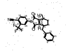 CC12CCC(Cc3ccccc3)(O1)[C@H]1C(=O)N(c3ccc(C#N)c(C(F)(F)F)c3)C(=O)[C@H]12